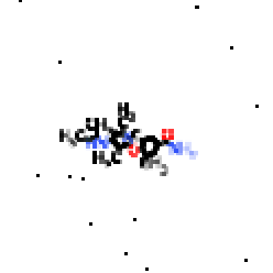 CCC(CC)Nc1cc(C)nc(Oc2c(C)cc(C(N)=O)cc2C)c1C